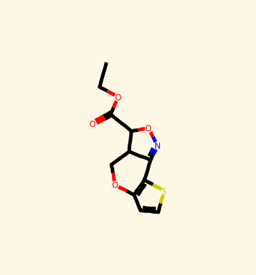 CCOC(=O)C1ON=C2c3sccc3OCC21